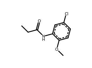 CCC(=O)Nc1cc(Cl)ccc1OC